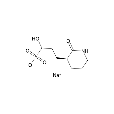 O=C1NCCC[C@H]1CCC(O)S(=O)(=O)[O-].[Na+]